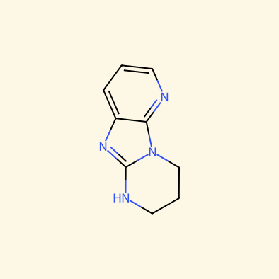 c1cnc2c(c1)nc1n2CCCN1